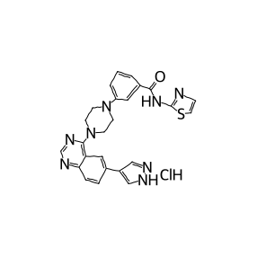 Cl.O=C(Nc1nccs1)c1cccc(N2CCN(c3ncnc4ccc(-c5cn[nH]c5)cc34)CC2)c1